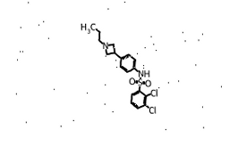 CCCN1CC(c2ccc(NS(=O)(=O)c3cccc(Cl)c3Cl)cc2)C1